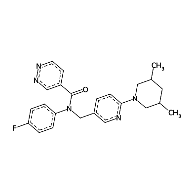 CC1CC(C)CN(c2ccc(CN(C(=O)c3ccnnc3)c3ccc(F)cc3)cn2)C1